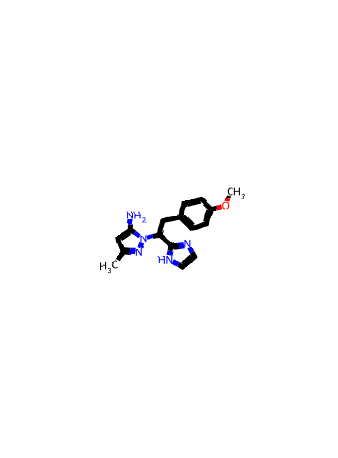 COc1ccc(CC(c2ncc[nH]2)n2nc(C)cc2N)cc1